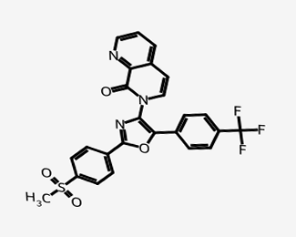 CS(=O)(=O)c1ccc(-c2nc(-n3ccc4cccnc4c3=O)c(-c3ccc(C(F)(F)F)cc3)o2)cc1